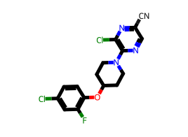 N#Cc1cnc(N2CCC(Oc3ccc(Cl)cc3F)CC2)c(Cl)n1